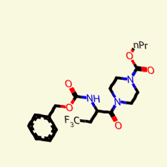 CCCOC(=O)N1CCN(C(=O)C(CC(F)(F)F)NC(=O)OCc2ccccc2)CC1